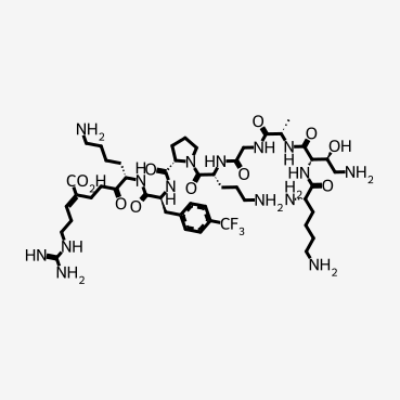 C[C@H](NC(=O)[C@@H](NC(=O)[C@@H](N)CCCCN)[C@@H](O)CN)C(=O)NCC(=O)N[C@H](CCCN)C(=O)N1CCC[C@H]1C(=O)N[C@@H](Cc1ccc(C(F)(F)F)cc1)C(=O)N[C@@H](CCCCN)C(=O)CC/C(=C\CCNC(=N)N)C(=O)O